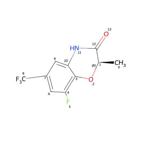 C[C@H]1Oc2c(F)cc(C(F)(F)F)cc2NC1=O